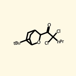 [CH2]CCC(Cl)(Cl)C(=O)[C]1OC2CCC1CC2C(C)(C)C